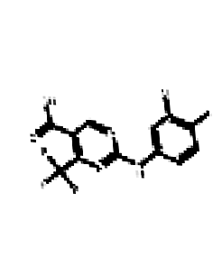 Cc1ccc(Nc2ncc(C(=O)O)c(C(F)(F)F)n2)cc1Cl